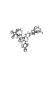 Cc1cc(C2CCC(N3CC(CNc4c(N)c(=O)c4=O)OCC3Cc3ccc(Cl)cc3)CC2)nn1C